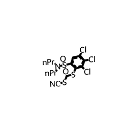 CCCN(CCC)S(=O)(=O)c1cc(Cl)c(Cl)c(Cl)c1SCSC#N